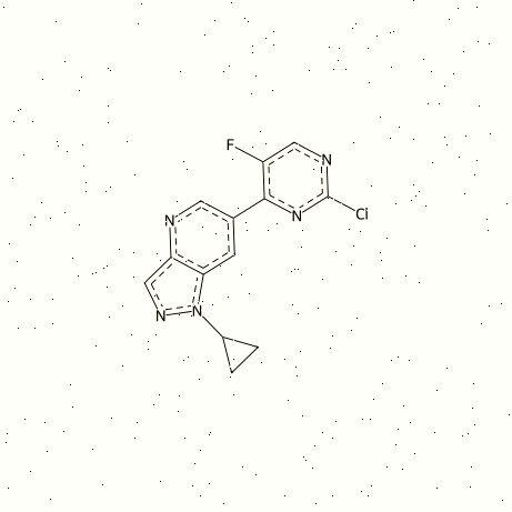 Fc1cnc(Cl)nc1-c1cnc2cnn(C3CC3)c2c1